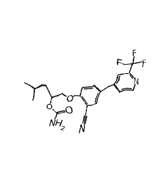 CC(C)CC(COc1ccc(-c2ccnc(C(F)(F)F)c2)cc1C#N)OC(N)=O